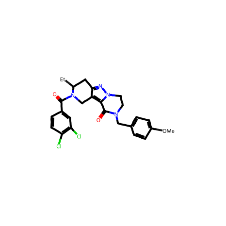 CCC1Cc2nn3c(c2CN1C(=O)c1ccc(Cl)c(Cl)c1)C(=O)N(Cc1ccc(OC)cc1)CC3